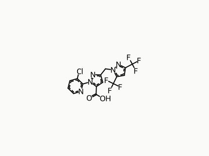 O=C(O)c1cc(Cn2nc(C(F)(F)F)cc2C(F)(F)F)nn1-c1ncccc1Cl